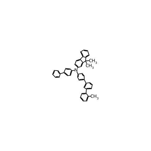 Cc1ccccc1-c1cccc(-c2ccc(N(c3ccc(-c4ccccc4)cc3)c3ccc4c(c3)C(C)(C)c3ccccc3-4)cc2)c1